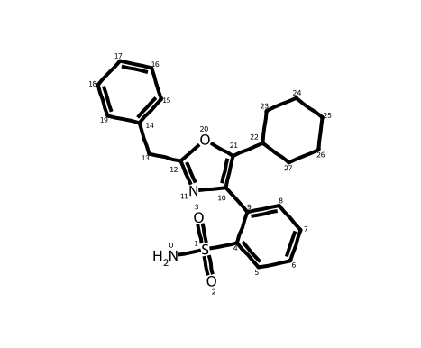 NS(=O)(=O)c1ccccc1-c1nc(Cc2ccccc2)oc1C1CCCCC1